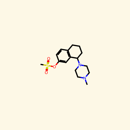 CN1CCN(C2CCCc3ccc(OS(C)(=O)=O)cc32)CC1